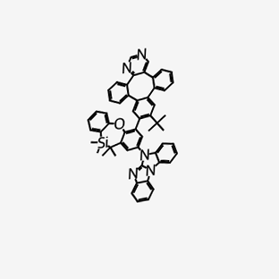 CC(C)(C)c1cc2c(cc1-c1cc(-n3c4ccccc4n4c5ccccc5nc34)cc3c1Oc1ccccc1[Si](C)(C)C3(C)C)-c1ccccc1-c1ncncc1-c1ccccc1-2